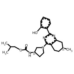 CC(C)COC(=O)N[C@@H]1CCN(c2nc(-c3ccccc3O)nc3c2CC[C@H](C)C3)C1